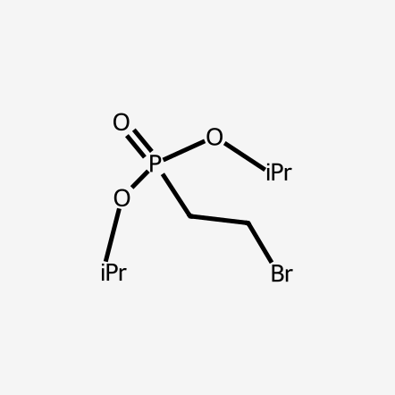 CC(C)OP(=O)(CCBr)OC(C)C